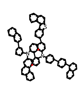 c1cc(-c2ccc3ccccc3c2)cc(N(c2ccc3c(ccc4ccccc43)c2)c2ccccc2-c2ccccc2N(c2ccc(-c3ccc(-c4cccc5ccccc45)cc3)cc2)c2ccc(-c3ccc4c(c3)sc3ccc5ccccc5c34)cc2)c1